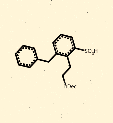 CCCCCCCCCCCCc1c(Cc2ccccc2)cccc1S(=O)(=O)O